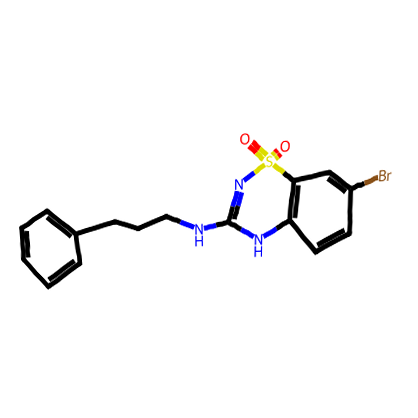 O=S1(=O)N=C(NCCCc2ccccc2)Nc2ccc(Br)cc21